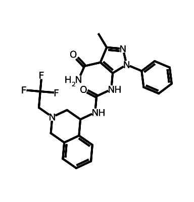 Cc1nn(-c2ccccc2)c(NC(=O)NC2CN(CC(F)(F)F)Cc3ccccc32)c1C(N)=O